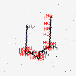 C=C/C=C/CC/C=C/C=C/C=C/CC/C=C/[C@@H](O)[C@@H](O)C1O[C@@H]([C@H](O)[C@H](O)C(=C)CCC(O)[C@H]2C[C@@H](O)[C@@H](O)C([C@@H](O)[C@H](O)/C=C(\C)CC[C@H](O)C[C@H](O)[C@@H](O)[C@@H](C)C[C@H](O)[C@@H](O)CCCCCC(O)CCC[C@@H](O)/C=C/C[C@@H](O)/C=C/C[C@H](O)CO)O2)CC(O)C1O